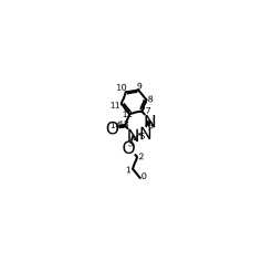 CCCOn1nnc2ccccc2c1=O